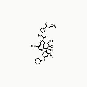 C=CC(=O)N1CCC(NC(=O)C2Sc3c(N)ccc4c3C2C(N)C(=O)C4(N)c2ccc(OC3CCCCC3)cc2C)C1